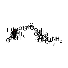 CC(=O)N[C@@H](CCCCN)C(=O)NCC(=O)N[C@@H](CCC(=O)O)C(=O)Nc1ccc(COC(=O)N2CC3(COC(Cc4ccc([C@@H]5O[C@@H]6C[C@H]7[C@@H]8CCC9=CC(=O)C=C[C@]9(C)[C@H]8[C@@H](O)C[C@]7(C)[C@]6(C(=O)CO)O5)cc4)C3)C2)cc1